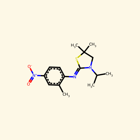 Cc1cc([N+](=O)[O-])ccc1/N=C1\SC(C)(C)CN1C(C)C